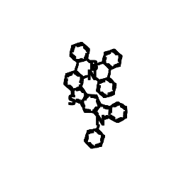 c1ccc(-n2c3ccccc3c3cc4c(cc32)sc2ccc3c(c24)N2B(c4ccccc4-c4ccccc42)c2ccccc2-3)cc1